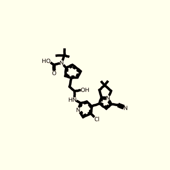 CC1(C)Cc2c(-c3cc(NC(O)Cc4cccc(N(C(=O)O)C(C)(C)C)c4)ncc3Cl)cc(C#N)n2C1